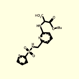 CC(C)(C)OC(=O)C(Nc1cccc(CNS(=O)(=O)c2cccs2)n1)C(=O)O